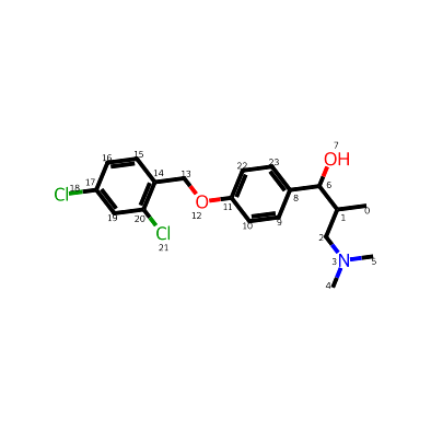 CC(CN(C)C)C(O)c1ccc(OCc2ccc(Cl)cc2Cl)cc1